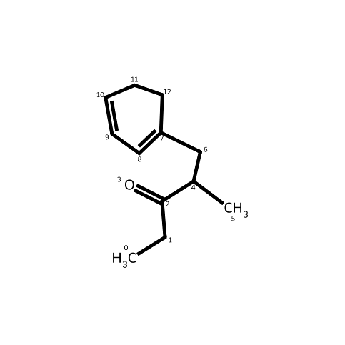 CCC(=O)C(C)CC1=CC=CCC1